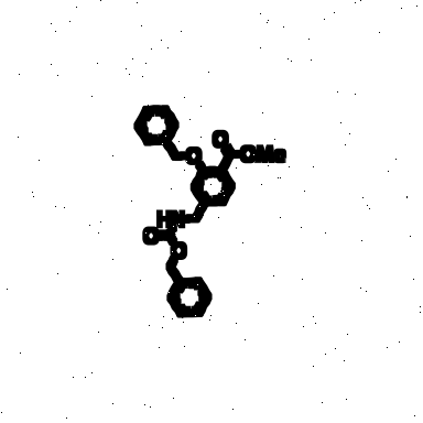 COC(=O)c1ccc(CNC(=O)OCc2ccccc2)cc1OCc1ccccc1